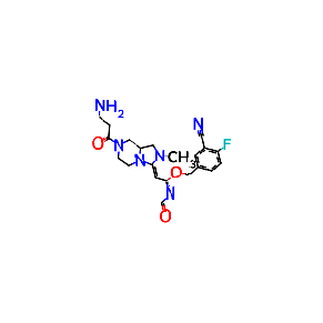 CN1CC2CN(C(=O)CCN)CCN2/C1=C/C(=N\C=O)OCc1ccc(F)c(C#N)c1